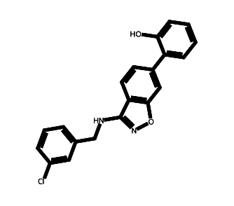 Oc1ccccc1-c1ccc2c(NCc3cccc(Cl)c3)noc2c1